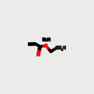 C=CC(=O)OCS(=O)(=O)O.[NaH]